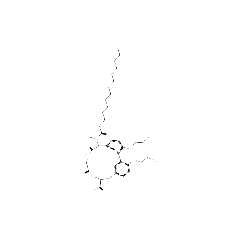 CCCCCCCCCCCCCC(=O)N(C)C1C(=O)N[C@@H](C)C(=O)NC(C(=O)O)Cc2ccc(OCCN)c(c2)-c2cc1ccc2OCCN